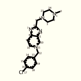 CN1CCN(Cc2nc3ccn(Cc4ccc(Cl)cc4)cc-3n2)CC1